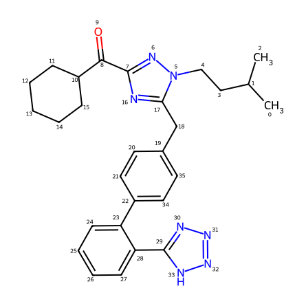 CC(C)CCn1nc(C(=O)C2CCCCC2)nc1Cc1ccc(-c2ccccc2-c2nnn[nH]2)cc1